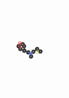 c1ccc(-c2ccc(-c3ccc(N(c4ccccc4)c4ccc(-c5cccc6c5sc5ccccc56)cc4)cc3)cc2-c2ccc3ccc4oc5ccccc5c4c3c2)cc1